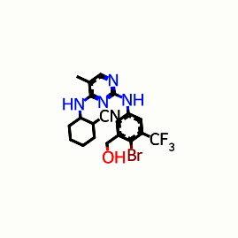 Cc1cnc(Nc2cc(CO)c(Br)c(C(F)(F)F)c2)nc1NC1CCCCC1C#N